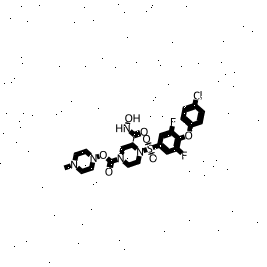 CN1CCN(OC(=O)N2CCN(S(=O)(=O)c3cc(F)c(Oc4ccc(Cl)cc4)c(F)c3)[C@@H](C(=O)NO)C2)CC1